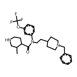 CC1CNCCC1C(=O)N(CCC1CCN(Cc2ccccc2)CC1)c1cccc(OC(F)(F)F)c1